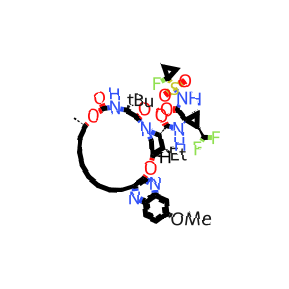 CC[C@@H]1[C@@H]2CN(C(=O)[C@H](C(C)(C)C)NC(=O)O[C@@H](C)CCCCCCCc3nc4ccc(OC)cc4nc3O2)[C@@H]1C(=O)N[C@]1(C(=O)NS(=O)(=O)C2(F)CC2)C[C@H]1C(F)F